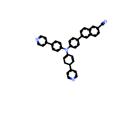 N#Cc1ccc2cc(-c3ccc(N(C4=CCC(c5ccncc5)C=C4)c4ccc(-c5ccncc5)cc4)cc3)ccc2c1